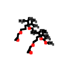 CCO[Si](CCCOCC1CO1)(C(C)C)C(C)C.COC(C)O[Si](CCCOCC1CO1)(C(C)C)C(C)C